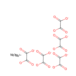 O=C([O-])C(=O)[O-].O=C([O-])C(=O)[O-].O=C([O-])C(=O)[O-].O=C([O-])C(=O)[O-].O=C([O-])C(=O)[O-].[Nb+5].[Nb+5]